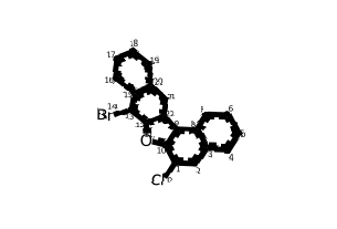 Clc1cc2ccccc2c2c1oc1c(Br)c3ccccc3cc12